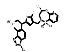 CC[C@@H]1CN(Cc2cc(C(CC(=O)O)c3ccc4c(nnn4CC)c3C)sc2Cl)S(O)(O)c2cccnc2O1